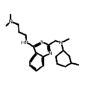 CC1CCCC(N(C)Cc2nc(NCCCN(C)C)c3ccccc3n2)C1